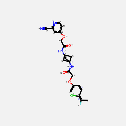 C=C(/C=C\C(Cl)=C(/C)F)OCC(=O)NC12CC(NC(=O)COc3ccnc(C#N)c3)(C1)C2